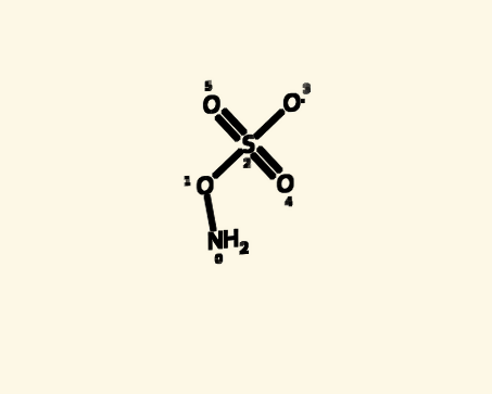 NOS([O])(=O)=O